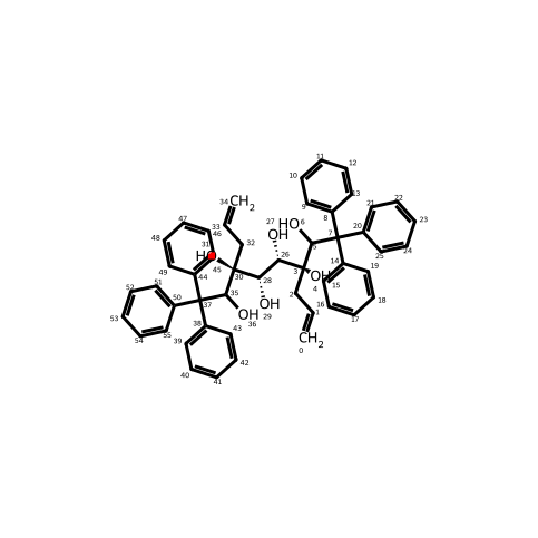 C=CC[C@@](O)(C(O)C(c1ccccc1)(c1ccccc1)c1ccccc1)[C@@H](O)[C@H](O)[C@@](O)(CC=C)C(O)C(c1ccccc1)(c1ccccc1)c1ccccc1